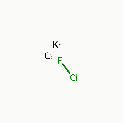 FCl.[C].[K]